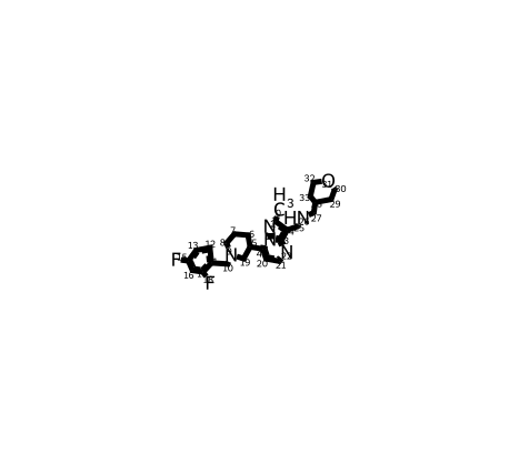 Cc1nn2c(C3CCCN(Cc4ccc(F)cc4F)C3)ccnc2c1CNCC1CCOCC1